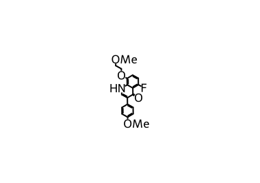 COCCOc1ccc(F)c2c(=O)c(-c3ccc(OC)cc3)c[nH]c12